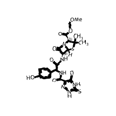 COCOC(=O)[C@@H]1N2C(=O)[C@@H](NC(=O)C(NC(=O)c3n[nH]c(=S)[nH]c3=O)c3ccc(O)cc3)[C@H]2SC1(C)C